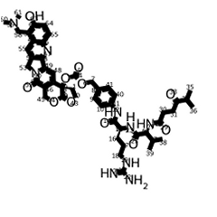 CC[C@@]1(OC(=O)OCc2ccc(NC(=O)[C@H](CCCNC(=N)N)NC(=O)[C@@H](NC(=O)CCC(=O)C(C)C)C(C)C)cc2)C(=O)OCc2c1cc1n(c2=O)Cc2cc3c(CN(C)C)c(O)ccc3nc2-1